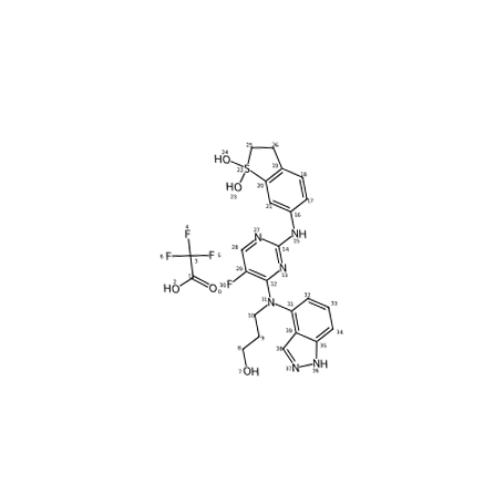 O=C(O)C(F)(F)F.OCCCN(c1nc(Nc2ccc3c(c2)S(O)(O)CC3)ncc1F)c1cccc2[nH]ncc12